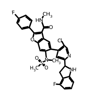 CNC(=O)c1c(-c2ccc(F)cc2)oc2cc(N(C)S(C)(=O)=O)c(-c3cc(C4Cc5c(F)cccc5N4)ncc3Cl)cc12